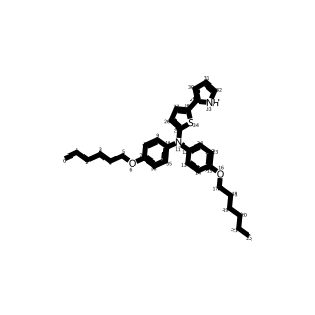 CCCCCCOc1ccc(N(c2ccc(OCCCCCC)cc2)c2ccc(-c3ccc[nH]3)s2)cc1